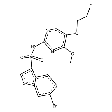 COc1nc(NS(=O)(=O)c2csc3cc(Br)ccc23)ncc1OCCF